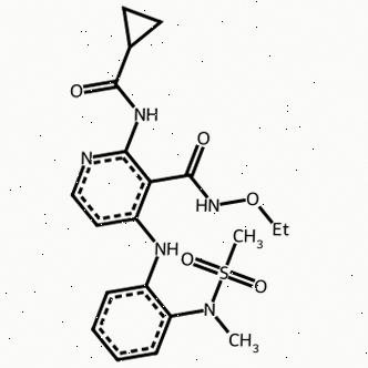 CCONC(=O)c1c(Nc2ccccc2N(C)S(C)(=O)=O)ccnc1NC(=O)C1CC1